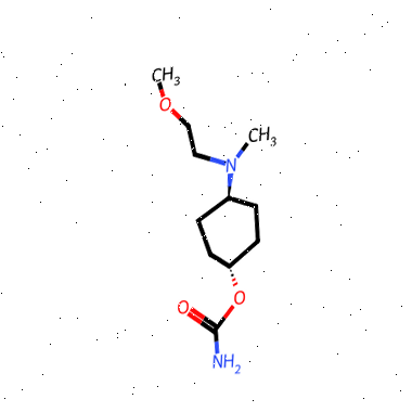 COCCN(C)[C@H]1CC[C@H](OC(N)=O)CC1